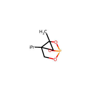 CC(C)C12COP(OC1)OC2C